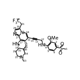 COc1cc(S(C)(=O)=O)ccc1NCC#Cc1cc(N[C@H]2CCN(C)C[C@@H]2F)c2ncc(CC(F)(F)F)n2c1